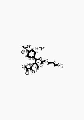 CNCCCOC(=O)OC(c1ccc(S(C)(=O)=O)cc1)C(CF)NC(=O)C(Cl)Cl.Cl